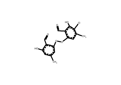 Cc1cc(O)c(C=O)c(OOc2cc(C)c(Cl)c(O)c2C=O)c1